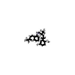 COc1ccc(F)cc1C(C)(C)CC(O)(/C=N\c1cccc2nc(C(F)(F)F)ccc12)C(F)(F)F